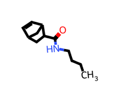 CCCCNC(=O)C1CC2C=CC1C2